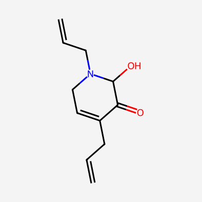 C=CCC1=CCN(CC=C)C(O)C1=O